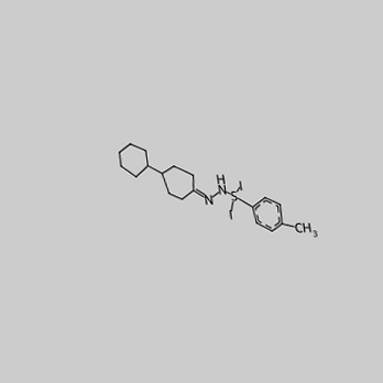 Cc1ccc(S(I)(I)NN=C2CCC(C3CCCCC3)CC2)cc1